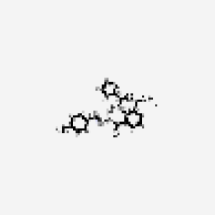 NCc1cccc(C(=O)N/N=C/c2ccc(Cl)cc2)c1NC(=O)c1cccs1